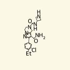 CCc1ccc(-c2nn3c(c2C(N)=O)CN(C(=O)NC2CNC2)CC3)cc1Cl